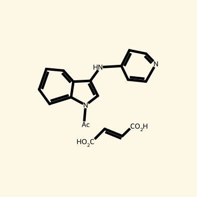 CC(=O)n1cc(Nc2ccncc2)c2ccccc21.O=C(O)C=CC(=O)O